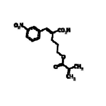 C=C(C)C(=O)OCCCC(=Cc1cccc([N+](=O)[O-])c1)C(=O)O